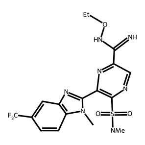 CCONC(=N)c1cnc(S(=O)(=O)NC)c(-c2nc3cc(C(F)(F)F)ccc3n2C)n1